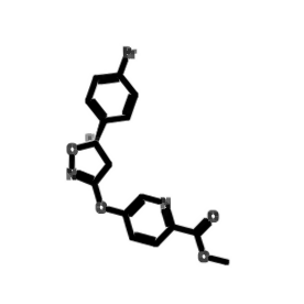 COC(=O)c1ccc(OC2=NO[C@@H](c3ccc(Br)cc3)C2)cn1